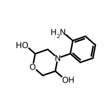 Nc1ccccc1N1CC(O)OCC1O